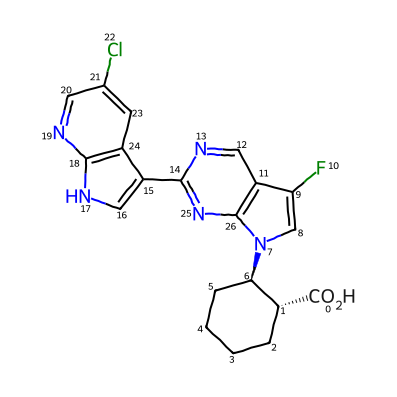 O=C(O)[C@@H]1CCCC[C@H]1n1cc(F)c2cnc(-c3c[nH]c4ncc(Cl)cc34)nc21